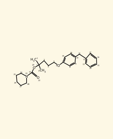 CC(C)(CCCOc1ccc(Cc2ccccc2)cc1)OC(=O)N1CCCCC1